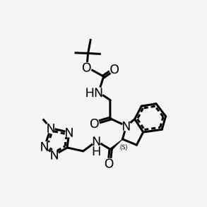 Cn1nnc(CNC(=O)[C@@H]2Cc3ccccc3N2C(=O)CNC(=O)OC(C)(C)C)n1